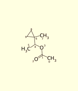 CC(=O)OC(C)C1(C)CC1